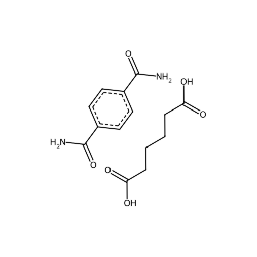 NC(=O)c1ccc(C(N)=O)cc1.O=C(O)CCCCC(=O)O